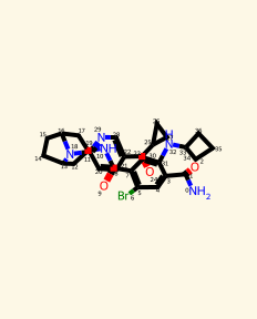 NC(=O)c1cc(Br)c(C(=O)NC2CC3CCC(C2)N3c2ccc(C(=O)C3CC3)cn2)cc1NC1CCC1